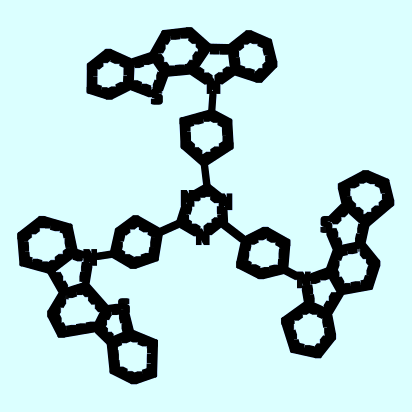 c1ccc2c(c1)sc1c2ccc2c3ccccc3n(-c3ccc(-c4nc(-c5ccc(-n6c7ccccc7c7ccc8c9ccccc9sc8c76)cc5)nc(-c5ccc(-n6c7ccccc7c7ccc8c9ccccc9sc8c76)cc5)n4)cc3)c21